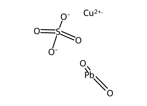 O=S(=O)([O-])[O-].[Cu+2].[O]=[Pb]=[O]